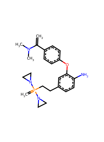 C=C(c1ccc(Oc2cc(CCP(=C)(N3CC3)N3CC3)ccc2N)cc1)N(C)C